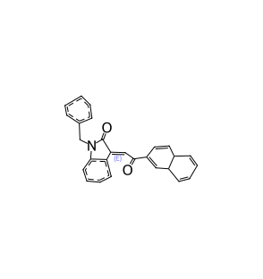 O=C(/C=C1/C(=O)N(Cc2ccccc2)c2ccccc21)C1=CC2C=CC=CC2C=C1